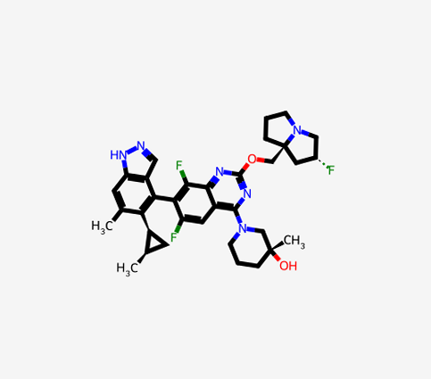 Cc1cc2[nH]ncc2c(-c2c(F)cc3c(N4CCC[C@@](C)(O)C4)nc(OC[C@@]45CCCN4C[C@H](F)C5)nc3c2F)c1[C@H]1C[C@H]1C